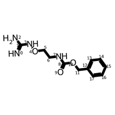 N=C(N)NOCCNC(=O)OCc1ccccc1